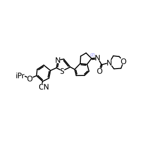 CC(C)Oc1ccc(-c2ncc(-c3cccc4c3CC/C4=N/C(=O)N3CCOCC3)s2)cc1C#N